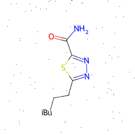 CCC(C)CCc1nnc(C(N)=O)s1